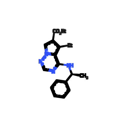 CCOC(=O)c1cn2ncnc(N[C@@H](C)c3ccccc3)c2c1CC